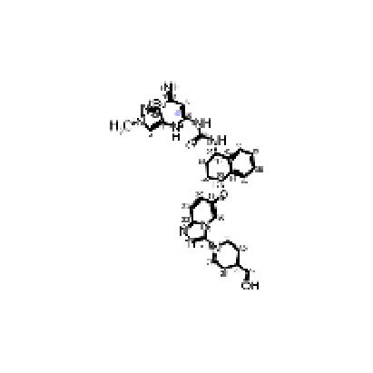 Cn1cc(N/C(=C\C(=N)C(C)(C)C)NC(=O)N[C@H]2CC[C@@H](Oc3ccc4nnc(N5CCC(CO)CC5)n4c3)c3ccccc32)cn1